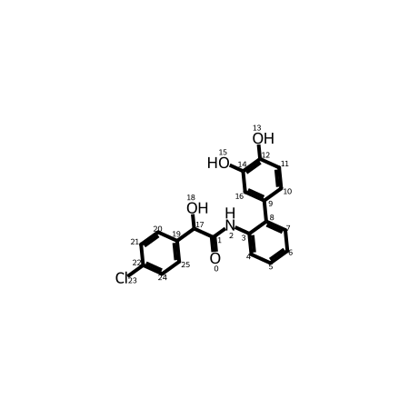 O=C(Nc1ccccc1-c1ccc(O)c(O)c1)C(O)c1ccc(Cl)cc1